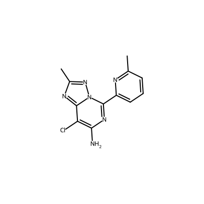 Cc1cccc(-c2nc(N)c(Cl)c3nc(C)nn23)n1